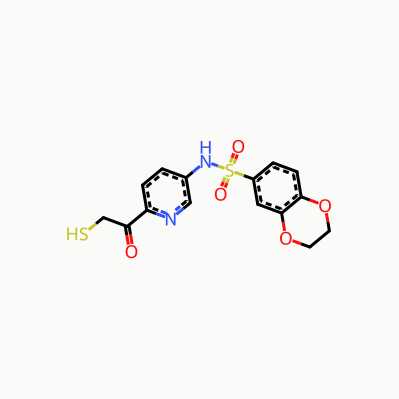 O=C(CS)c1ccc(NS(=O)(=O)c2ccc3c(c2)OCCO3)cn1